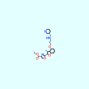 CCOC(=O)c1coc(-c2oc3cccc(OCCCNCc4cccnc4)c3c2C)n1